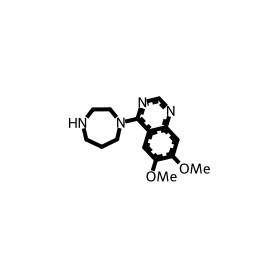 COc1cc2ncnc(N3CCCNCC3)c2cc1OC